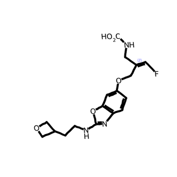 O=C(O)NC/C(=C/F)COc1ccc2nc(NCCC3COC3)oc2c1